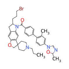 CCCN1CCC2(CC1)COc1cc3c(cc12)N(C(=O)c1ccc(-c2ccc(N4C=NC(C)O4)cc2C)cc1)C(CCCBr)C3